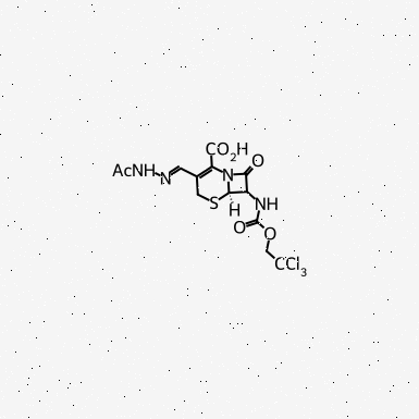 CC(=O)N/N=C/C1=C(C(=O)O)N2C(=O)C(NC(=O)OCC(Cl)(Cl)Cl)[C@H]2SC1